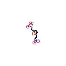 O=[N+]([O-])C=Cc1ccc(CC[N+](=O)[O-])o1